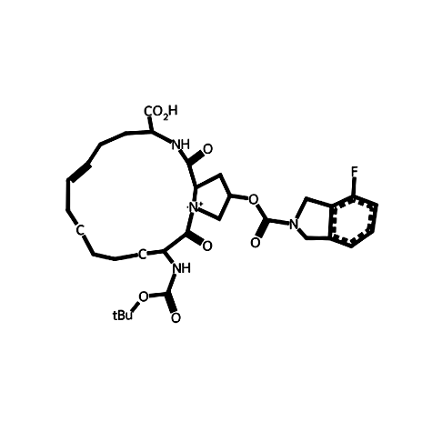 CC(C)(C)OC(=O)NC1CCCCCC=CCCC(C(=O)O)NC(=O)C2CC(OC(=O)N3Cc4cccc(F)c4C3)C[N+]2C1=O